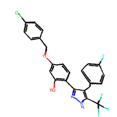 Oc1cc(OCc2ccc(Cl)cc2)ccc1-c1n[nH]c(C(F)(F)F)c1-c1ccc(F)cc1